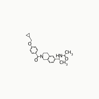 CC(=O)NC(C)c1ccc2c(c1)CCN(C(=O)c1ccc(OCC3CC3)cc1)C2